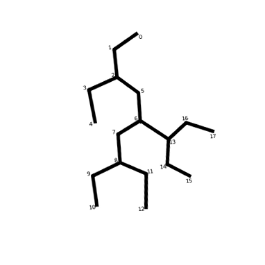 CCC(CC)C[C](CC(CC)CC)C(CC)CC